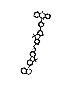 CC1(C)c2cc(/C=C/c3ccc4c(c3)C(C)(C)c3cc(N5CCCc6ccccc65)ccc3-4)ccc2-c2ccc(-c3ccc(N4c5ccccc5Sc5ccccc54)cc3)cc21